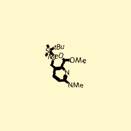 CNc1ccc(CO[Si](C)(C)C(C)(C)C)c(C(OC)OC)n1